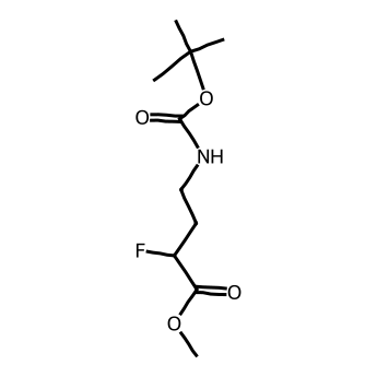 COC(=O)C(F)CCNC(=O)OC(C)(C)C